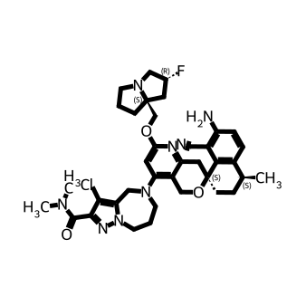 C[C@H]1CC[C@]2(Cc3nc(OC[C@@]45CCCN4C[C@H](F)C5)cc(N4CCCn5nc(C(=O)N(C)C)c(Cl)c5C4)c3CO2)c2c1ccc(N)c2C#N